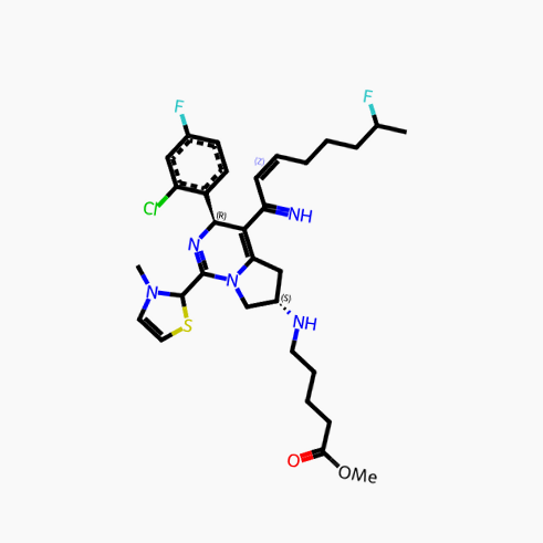 COC(=O)CCCCN[C@H]1CC2=C(C(=N)/C=C\CCCC(C)F)[C@H](c3ccc(F)cc3Cl)N=C(C3SC=CN3C)N2C1